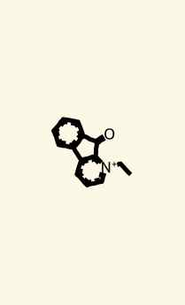 CC[n+]1cccc2c1C(=O)c1ccccc1-2